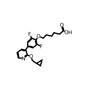 O=C(O)CCCCCOc1c(F)cc(-c2cccnc2OCC2CC2)cc1F